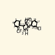 [O-][N+]1=C(c2ccccc2C(F)(F)F)CNN1c1cc(Cl)ccc1O